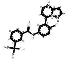 O=C(Nc1ccc(F)c(-c2ccnc3ccnn23)c1)c1cccc(C(F)(F)F)c1